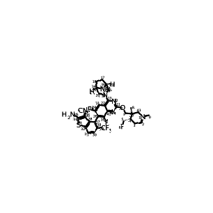 CN1CC[C@H](CF)[C@](C)(COc2nc(N3C[C@H]4CC[C@@H](C3)N4)c3cc(F)c(-c4c(C(F)(F)F)ccc5sc(N)c(C#N)c45)c(F)c3n2)C1